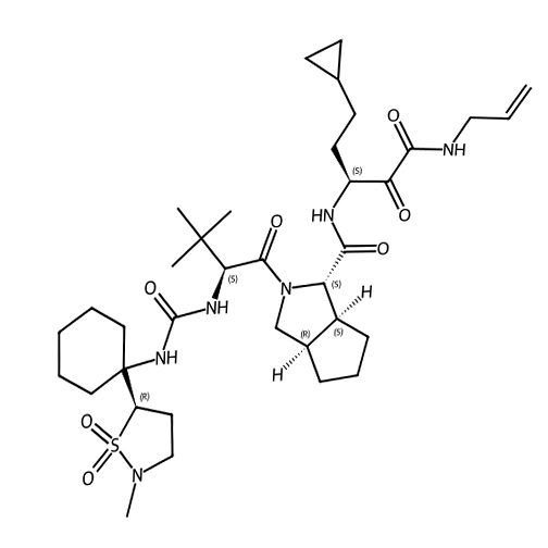 C=CCNC(=O)C(=O)[C@H](CCC1CC1)NC(=O)[C@@H]1[C@H]2CCC[C@H]2CN1C(=O)[C@@H](NC(=O)NC1([C@H]2CCN(C)S2(=O)=O)CCCCC1)C(C)(C)C